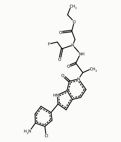 CCOC(=O)CN(NC(=O)C(C)n1ccc2cc(-c3ccc(N)c(Cl)c3)[nH]c2c1=O)C(=O)CF